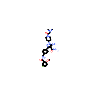 COc1ccc(F)cc1C(=O)NCc1ccc(-c2nn(C3CCN(C(=O)CN(C)C)CC3)c(N)c2C(N)=O)cc1